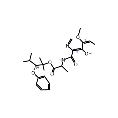 C=N/C(C(=O)NC(C)C(=O)OC(C)(C)[C@H](Oc1ccccc1)C(C)C)=C(O)\C(=C/C)OC